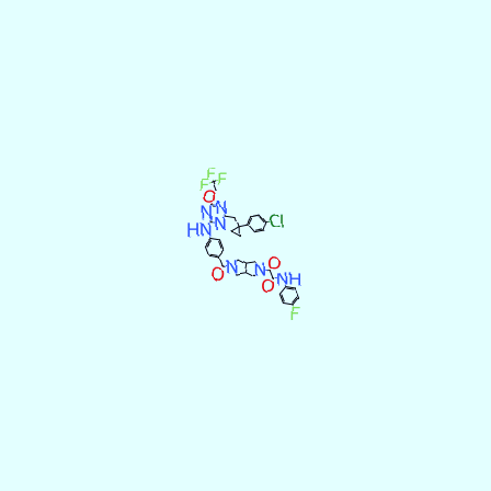 O=C(Nc1ccc(F)cc1)C(=O)N1CC2CN(C(=O)c3ccc(Nc4nc(CC5(c6ccc(Cl)cc6)CC5)nc(OCC(F)(F)F)n4)cc3)CC2C1